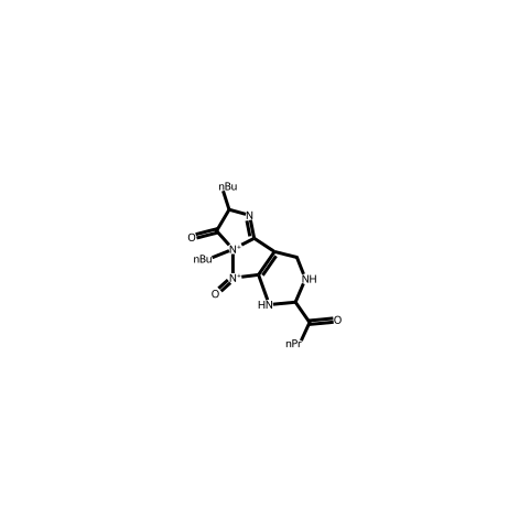 CCCCC1N=C2C3=C(NC(C(=O)CCC)NC3)[N+](=O)[N+]2(CCCC)C1=O